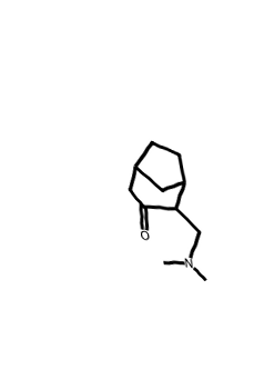 CN(C)CC1C(=O)CC2CCC1C2